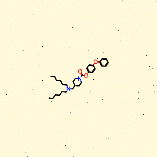 CCCCCCN(CCCCCC)CC1CCN(C(=O)Oc2ccc(Oc3ccccc3)cc2)CC1